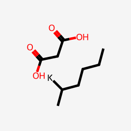 CCCC[CH](C)[K].O=C(O)CC(=O)O